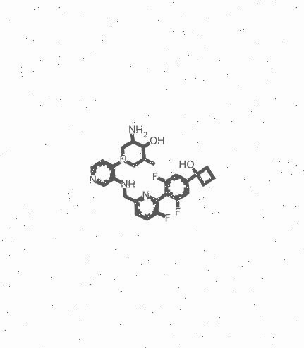 CC1CN(c2ccncc2NCc2ccc(F)c(-c3c(F)cc(C4(O)CCC4)cc3F)n2)CC(N)C1O